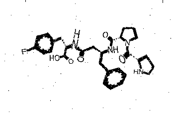 O=C(C[C@H](Cc1ccccc1)NC(=O)[C@@H]1CCCN1C(=O)[C@@H]1CCCN1)N[C@@H](Cc1ccc(F)cc1)C(=O)O